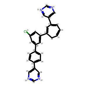 Clc1cc(C2=CC(c3cncnc3)=CC=CC2)cc(-c2ccc(-c3cncnc3)cc2)c1